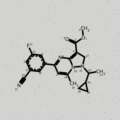 COC(=O)C1=C2N=C(c3cc(F)cc(C#N)c3)C=C(C)N2N(C(C)C2CC2)C1